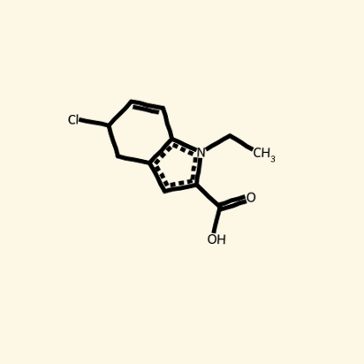 CCn1c(C(=O)O)cc2c1C=CC(Cl)C2